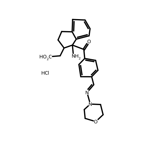 Cl.NC1(C(=O)c2ccc(C=NN3CCOCC3)cc2)c2ccccc2CCC1CC(=O)O